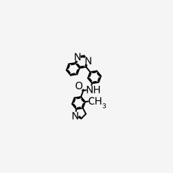 Cc1c(C(=O)Nc2cccc(-c3ncnc4ccccc34)c2)ccc2c1CC=N2